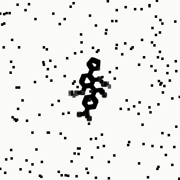 COc1ccc(-c2cccs2)c(OC)c1C(C=O)c1ccc([N+](=O)[O-])cc1